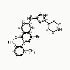 Cc1cccc(C)c1-n1cc(Br)c2nc(Nc3cnn(C4CCNCC4)c3)ncc2c1=O